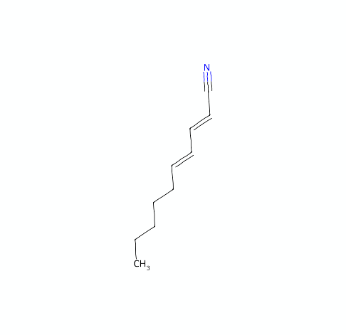 CCCCCC=CC=CC#N